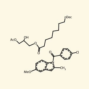 CCCCCCCCCCCCCCCCCC(=O)OCC(O)COC(C)=O.COc1ccc2c(c1)cc(C)n2C(=O)c1ccc(Cl)cc1